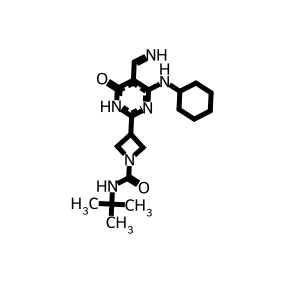 CC(C)(C)NC(=O)N1CC(c2nc(NC3CCCCC3)c(C=N)c(=O)[nH]2)C1